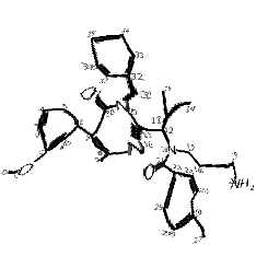 COc1cccc(-c2c(C)nc(C(C(C)C)N(CCCN)C(=O)c3ccc(C)cc3)n(Cc3ccccc3)c2=O)c1